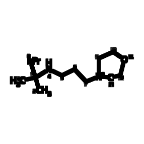 CCCC(C)(C)NCCCN1CCOCC1